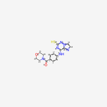 O=C(c1ccc(Nc2nc(S)nn3ccnc23)cc1)N1CCOCC1